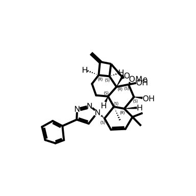 C=C1C2C(=O)[C@]34[C@H]2[C@H]1CC[C@H]3[C@]1(C)[C@@H](n2cc(-c3ccccc3)nn2)C=CC(C)(C)[C@H]1[C@H](O)[C@@]4(O)OC